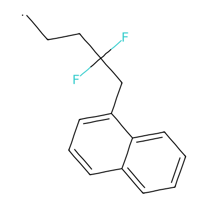 [CH2]CCC(F)(F)Cc1cccc2ccccc12